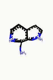 Nc1nccc2cc[nH]c12